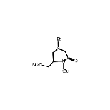 CCN1CC(=O)N(C(C)(C)C)C(COC)C1